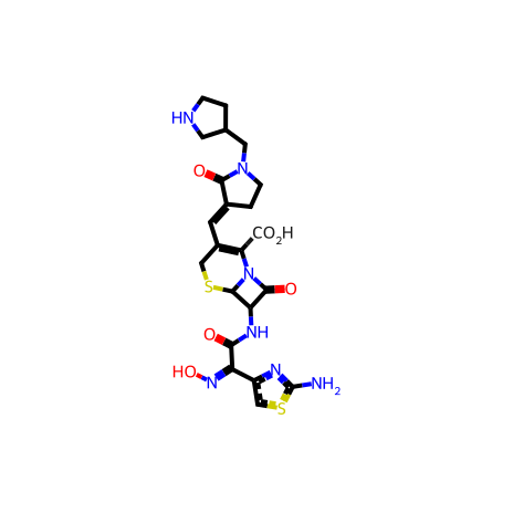 Nc1nc(/C(=N/O)C(=O)NC2C(=O)N3C(C(=O)O)=C(C=C4CCN(CC5CCNC5)C4=O)CSC23)cs1